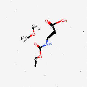 CCOC(=O)NC=CC(=O)O.[SiH3]O[SiH3]